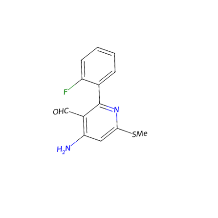 CSc1cc(N)c(C=O)c(-c2ccccc2F)n1